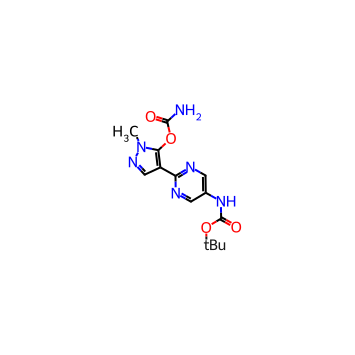 Cn1ncc(-c2ncc(NC(=O)OC(C)(C)C)cn2)c1OC(N)=O